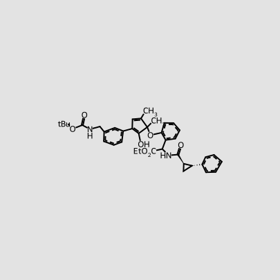 CCOC(=O)C(NC(=O)[C@@H]1C[C@H]1c1ccccc1)c1ccccc1OC1(C)C(C)=CC(c2cccc(CNC(=O)OC(C)(C)C)c2)=C1O